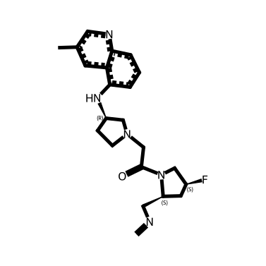 C=NC[C@@H]1C[C@H](F)CN1C(=O)CN1CC[C@@H](Nc2cccc3ncc(C)cc23)C1